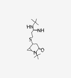 CC(C)(C)NC(=N)CCSC1CC(=O)N(C(C)(C)C)C2CC12